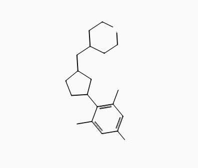 Cc1cc(Br)cc(C)c1C1CCC(CC2CCOCC2)C1